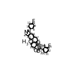 C[C@]12Cc3cnn(-c4ccc(F)cc4)c3C=C1CC[C@H]1C2=CC[C@@H](C(F)(F)F)[C@@H]1NC(=O)c1cccc(F)c1